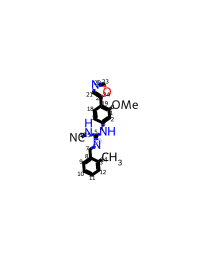 COc1cc(N/C(=N/Cc2ccccc2C)NC#N)ccc1-c1cnco1